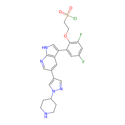 O=S(=O)(Cl)CCOc1c(F)cc(F)cc1-c1c[nH]c2ncc(-c3cnn(C4CCNCC4)c3)cc12